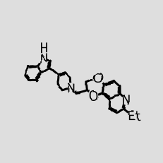 CCc1ccc2c3c(ccc2n1)OCC(CN1CC=C(c2c[nH]c4ccccc24)CC1)O3